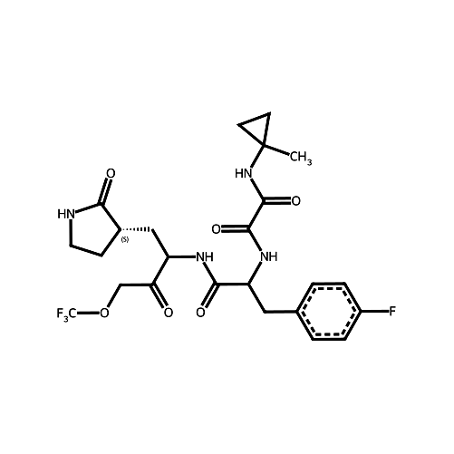 CC1(NC(=O)C(=O)NC(Cc2ccc(F)cc2)C(=O)NC(C[C@@H]2CCNC2=O)C(=O)COC(F)(F)F)CC1